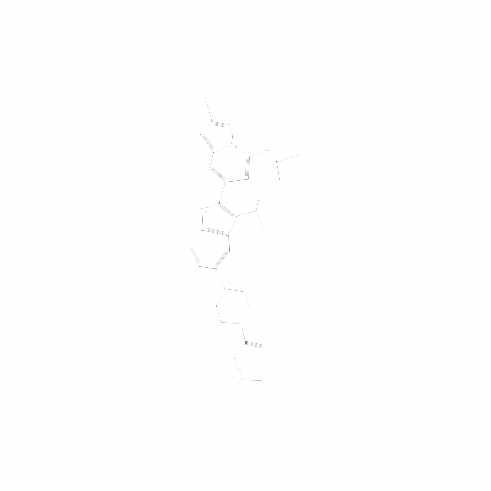 Cc1cc2cc(-c3[nH]c4ccc(C5CCN(C(=O)CN(C)C)CC5)cc4c3C(C)C)cc(CC(C)C)n2n1